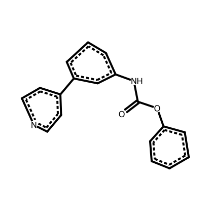 O=C(Nc1cccc(-c2ccncc2)c1)Oc1ccccc1